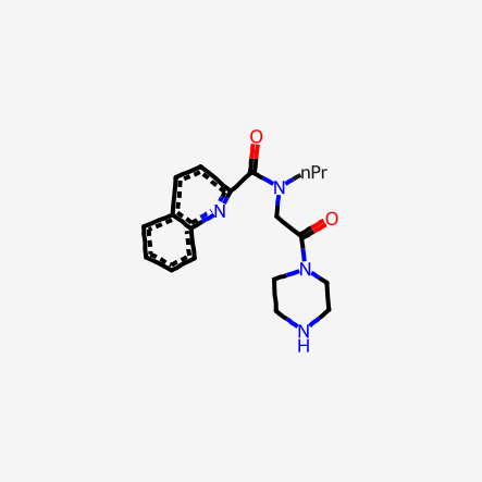 CCCN(CC(=O)N1CCNCC1)C(=O)c1ccc2ccccc2n1